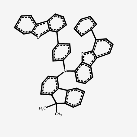 CC1(C)c2ccccc2-c2c(N(c3ccc(-c4cccc5c4oc4ccccc45)cc3)c3cccc4c3oc3c(-c5ccccc5)cccc34)cccc21